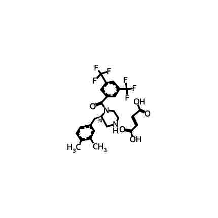 Cc1ccc(C[C@@H]2CNCCN2C(=O)c2cc(C(F)(F)F)cc(C(F)(F)F)c2)cc1C.O=C(O)C=CC(=O)O